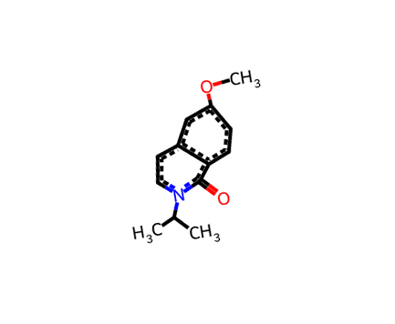 COc1ccc2c(=O)n(C(C)C)ccc2c1